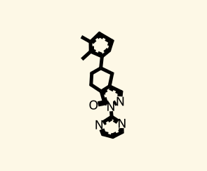 Cc1cccc(C2CCc3c(cnn(-c4ncccn4)c3=O)C2)c1C